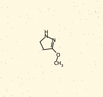 COC1=NNC[C]1